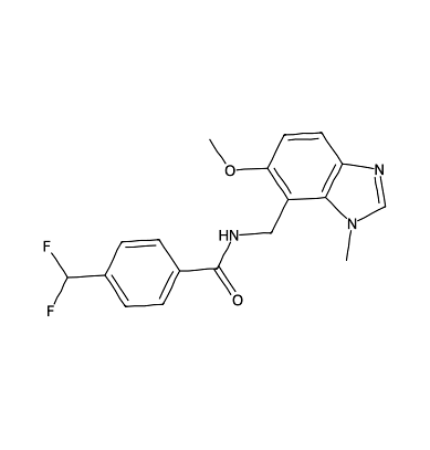 COc1ccc2ncn(C)c2c1CNC(=O)c1ccc(C(F)F)cc1